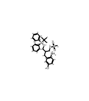 CC(C)(C)[Si](OCC(COS(C)(=O)=O)Cc1cc(Cl)ccc1N)(c1ccccc1)c1ccccc1